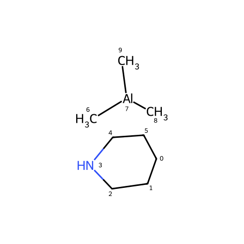 C1CCNCC1.[CH3][Al]([CH3])[CH3]